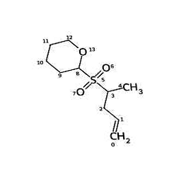 C=CCC(C)S(=O)(=O)C1CCCCO1